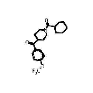 O=C(c1ccc(OC(F)(F)F)cc1)C1CCN(C(=O)C2CCCCC2)CC1